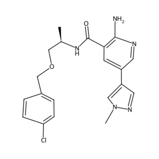 C[C@H](COCc1ccc(Cl)cc1)NC(=O)c1cc(-c2cnn(C)c2)cnc1N